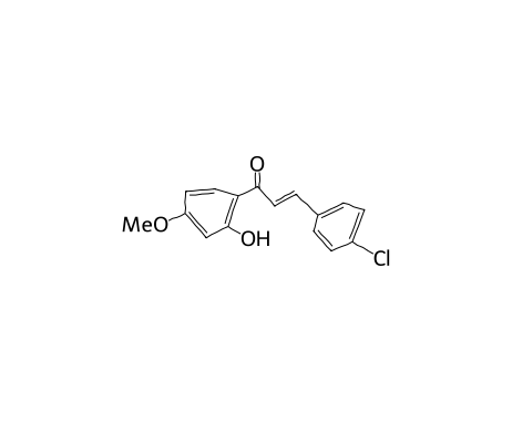 COc1ccc(C(=O)C=Cc2ccc(Cl)cc2)c(O)c1